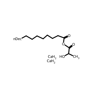 CCCCCCCCCCCCCCCCCC(=O)OC(=O)C(C)O.[CaH2].[CaH2]